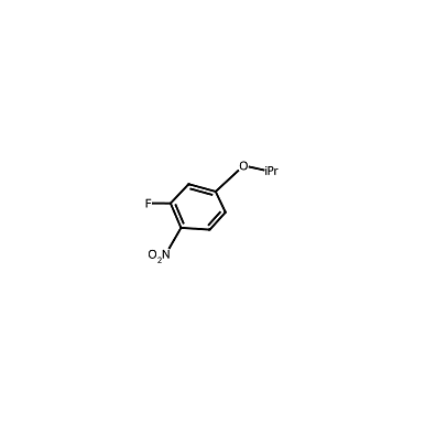 CC(C)Oc1ccc([N+](=O)[O-])c(F)c1